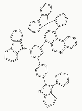 c1ccc(-n2c(-c3ccc(-c4cc(-c5cc6c(c7c5cnc5ccccc57)-c5ccccc5C65c6ccccc6-c6ccccc65)cc(-n5c6ccccc6c6ccccc65)c4)cc3)nc3ccccc32)cc1